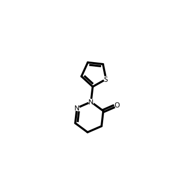 O=C1CCC=NN1c1cccs1